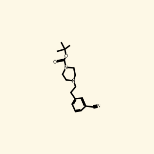 CC(C)(C)OC(=O)N1CCN(CCc2cccc(C#N)c2)CC1